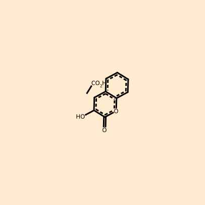 CC(=O)O.O=c1oc2ccccc2cc1O